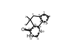 CC1(C)Cc2ccsc2-c2nc[nH]c(=O)c21